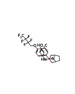 O=C(O)c1ccc(CN2C3CCC2CC(Nc2ccc(OCC(F)(F)C(F)(F)C(F)(F)F)cc2)C3)cc1